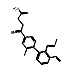 C=Cc1cccc(-c2ccc(C(=N)CCC(N)=O)cc2F)c1/C=C/C